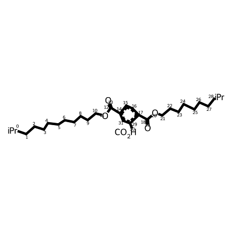 CC(C)CCCCCCCCCCOC(=O)c1ccc(C(=O)OCCCCCCCC(C)C)c(C(=O)O)c1